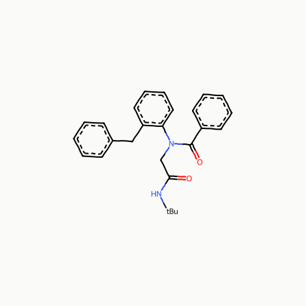 CC(C)(C)NC(=O)CN(C(=O)c1ccccc1)c1ccccc1Cc1ccccc1